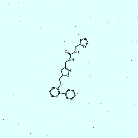 O=C(NCC1=NOC(COc2ccccc2-c2ccccc2)C1)NCc1ccco1